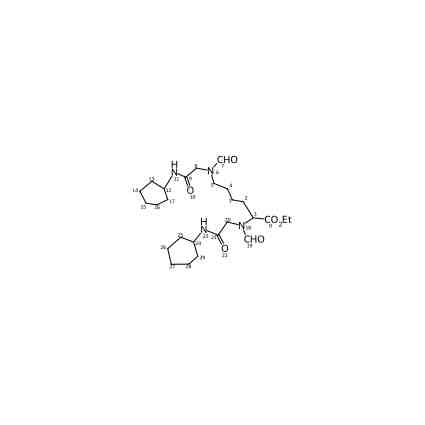 CCOC(=O)C(CCCCN(C=O)CC(=O)NC1CCCCC1)N(C=O)CC(=O)NC1CCCCC1